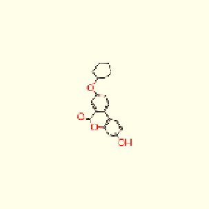 O=c1oc2cc(O)ccc2c2ccc(OC3CCCCC3)cc12